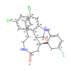 CC1=CC=C(F)CC1[C@H]1CC(=O)NCC(c2cccc(Cl)c2)[C@]12C(=O)Nc1cc(Cl)ccc12